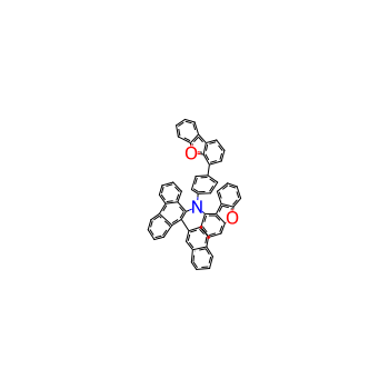 c1ccc2cc(-c3c(N(c4ccc(-c5cccc6c5oc5ccccc56)cc4)c4cccc5oc6ccccc6c45)c4ccccc4c4ccccc34)ccc2c1